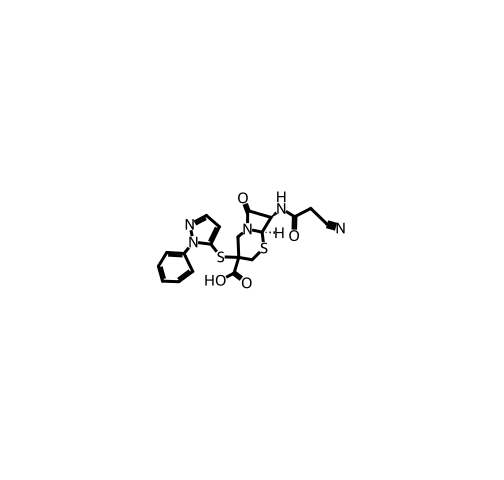 N#CCC(=O)N[C@@H]1C(=O)N2CC(Sc3ccnn3-c3ccccc3)(C(=O)O)CS[C@H]12